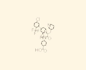 O=C(O)c1ccc(NC(=O)C(Cc2cccnc2)n2ccc(-c3cc(Cl)ccc3C(F)(F)F)cc2=O)cc1